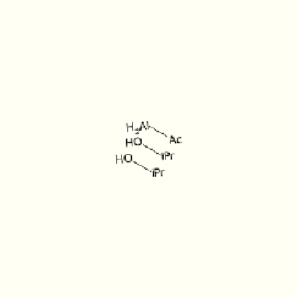 CC(C)O.CC(C)O.C[C](=O)[AlH2]